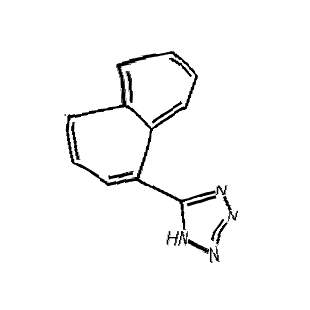 [c]1ccc(-c2nnn[nH]2)c2ccccc12